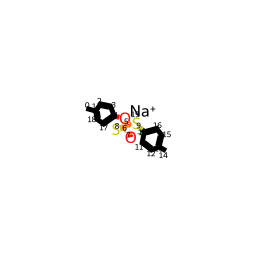 Cc1ccc(OP([O-])(=S)Sc2ccc(C)cc2)cc1.[Na+]